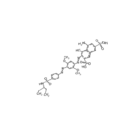 CCC(CC)NS(=O)(=O)c1ccc(/N=N/c2cc(OC)c(/N=N/c3c(S(=O)(=O)O)cc4cc(S(=O)(=O)O)cc(N)c4c3O)cc2OC)cc1